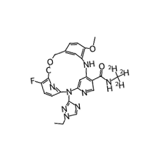 [2H]C([2H])([2H])NC(=O)c1cnc2cc1Nc1cc(ccc1OC)COCc1nc(ccc1F)N2c1ncn(CC)n1